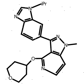 CC(C)n1cnc2ccc(-c3nn(C)c4ccnc(OC5CCOCC5)c34)cc21